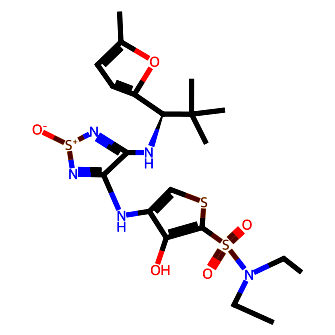 CCN(CC)S(=O)(=O)c1scc(Nc2n[s+]([O-])nc2N[C@@H](c2ccc(C)o2)C(C)(C)C)c1O